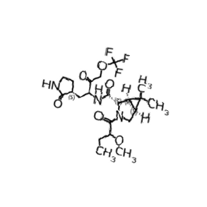 CCC(OC)C(=O)N1C[C@H]2[C@@H]([C@H]1C(=O)NC(C[C@@H]1CCNC1=O)C(=O)COC(F)(F)F)C2(C)C